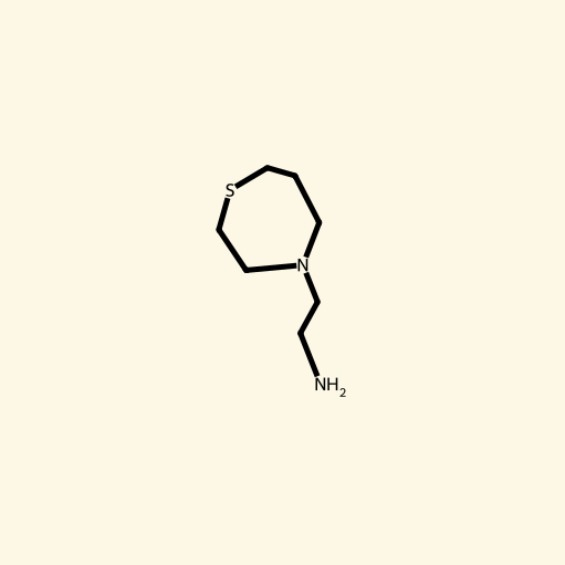 NCCN1CCCSCC1